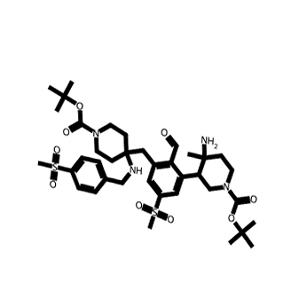 CC(C)(C)OC(=O)N1CCC(Cc2cc(S(C)(=O)=O)cc(C3CN(C(=O)OC(C)(C)C)CCC3(C)N)c2C=O)(NCc2ccc(S(C)(=O)=O)cc2)CC1